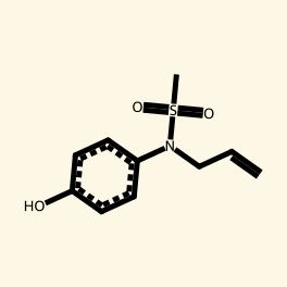 C=CCN(c1ccc(O)cc1)S(C)(=O)=O